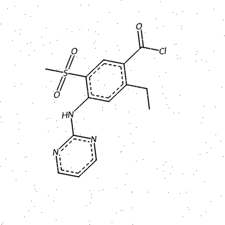 CCc1cc(Nc2ncccn2)c(S(C)(=O)=O)cc1C(=O)Cl